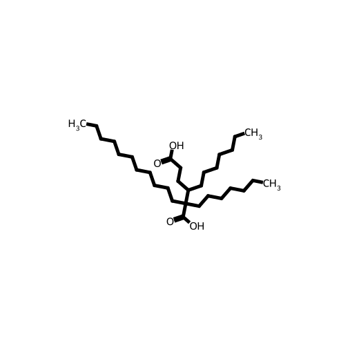 CCCCCCCCCCCC(CCCCCCC)(C(=O)O)C(CCCCCCC)CCC(=O)O